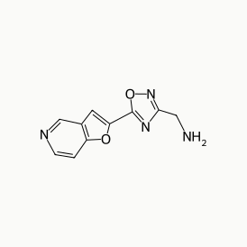 NCc1noc(-c2cc3cnccc3o2)n1